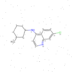 CC1CCCC(Nc2ccnc3cc(Cl)ccc23)C1